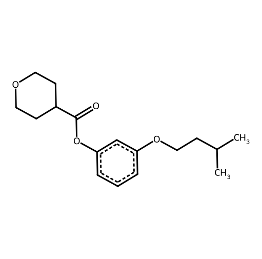 CC(C)CCOc1cccc(OC(=O)C2CCOCC2)c1